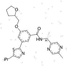 Cc1cnc([C@@H](C)NC(=O)c2cc(OCC3CCCO3)cc(-c3ncc(C(C)C)s3)c2)cn1